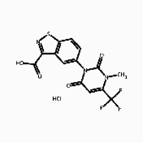 Cl.Cn1c(C(F)(F)F)cc(=O)n(-c2ccc3snc(C(=O)O)c3c2)c1=O